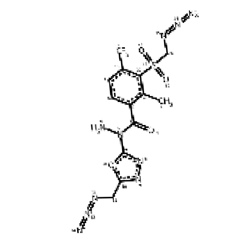 Cc1c(C(=O)N(N)c2nnc(CN=[N+]=[N-])o2)ccc(C(F)(F)F)c1S(=O)(=O)CN=[N+]=[N-]